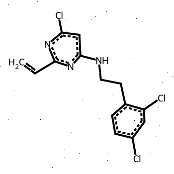 C=Cc1nc(Cl)cc(NCCc2ccc(Cl)cc2Cl)n1